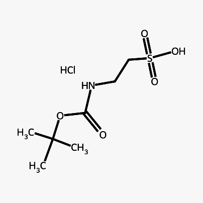 CC(C)(C)OC(=O)NCCS(=O)(=O)O.Cl